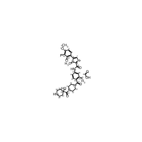 COc1ccc(-c2cnc(C(=O)Nc3ccc(C(=O)N4CCN(C(=O)C5(O)CCNCC5)CC4)c(C)c3)n2C)c(Cl)c1F.O=CO